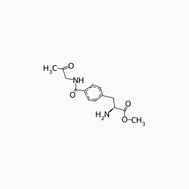 COC(=O)[C@@H](N)Cc1ccc(C(=O)NCC(C)=O)cc1